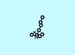 CC1(C)c2ccccc2-c2nc3ccc4ccccc4c3c(-c3ccc(-c4ccc5cc(-c6ccccc6)ccc5c4)cc3)c21